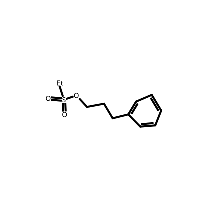 CCS(=O)(=O)OCCCc1ccccc1